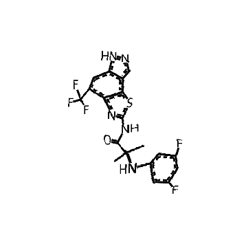 CC(C)(Nc1cc(F)cc(F)c1)C(=O)Nc1nc2c(C(F)(F)F)cc3[nH]ncc3c2s1